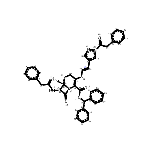 O=C(Cc1ccccc1)N[C@@H]1C(=O)N2C(C(=O)OC(c3ccccc3)c3ccccc3)=C(S/C=C/c3cnn(C(=O)Cc4ccccc4)c3)CS[C@@H]12